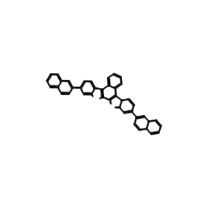 C1=CC2C=CC(C3=CC4Oc5c(c6ccccc6c6c5oc5cc(-c7ccc8ccccc8c7)ccc56)C4C=C3)=CC2C=C1